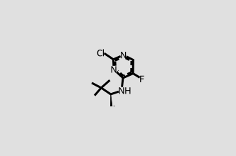 [CH2][C@H](Nc1nc(Cl)ncc1F)C(C)(C)C